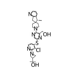 C[C@@H]1c2cccnc2CC12CCN(c1ncc(Sc3ccnc(N4CC(C(C)(C)O)C4)c3Cl)nc1CO)CC2